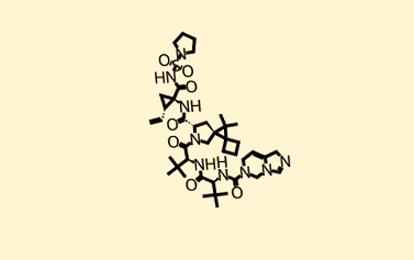 C=C[C@@H]1C[C@]1(NC(=O)[C@@H]1C[C@@]2(CN1C(=O)[C@@H](NC(=O)[C@@H](NC(=O)N1CC=C3CN=CN3C1)C(C)(C)C)C(C)(C)C)C(C)(C)C21CCC1)C(=O)NS(=O)(=O)N1CCCC1